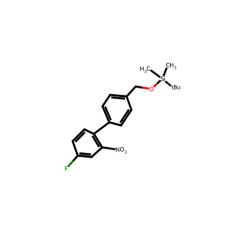 CC(C)(C)[Si](C)(C)OCc1ccc(-c2ccc(F)cc2[N+](=O)[O-])cc1